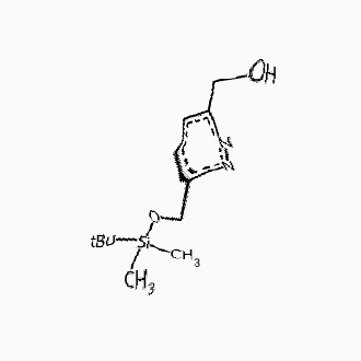 CC(C)(C)[Si](C)(C)OCc1ccc(CO)nn1